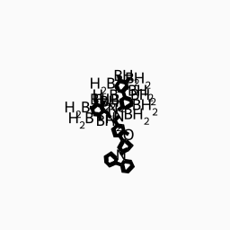 Bc1c(B)c(B)c(-c2nc(-c3ccc4c(c3)oc3ccc(-n5c6ccccc6c6ccccc65)cc34)nc(-c3c(B)c(B)c(B)c(-c4c(B)c(B)c(B)c(B)c4B)c3B)n2)c(B)c1B